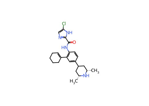 C[C@@H]1CC(c2ccc(NC(=O)c3ncc(Cl)[nH]3)c(C3=CCCCC3)c2)C[C@H](C)N1